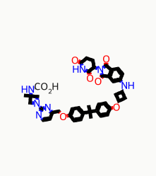 CC1(NC(=O)O)CN(c2nccc(COc3ccc(C(C)(C)c4ccc(O[C@H]5C[C@@H](Nc6ccc7c(c6)C(=O)N(C6CCC(=O)NC6=O)C7=O)C5)cc4)cc3)n2)C1